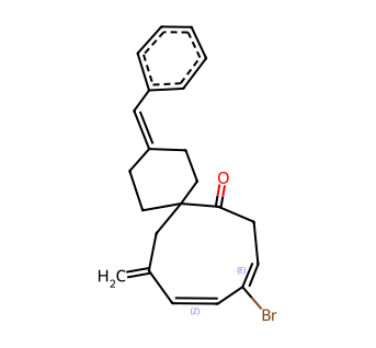 C=C1/C=C\C(Br)=C/CC(=O)C2(CCC(=Cc3ccccc3)CC2)C1